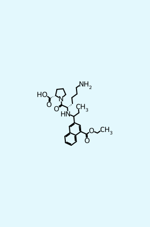 CCOC(=O)c1cc(C(CC)N[C@@H](CCCCN)C(=O)N2CCC[C@H]2C(=O)O)cc2ccccc12